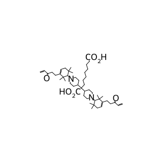 C=CC(=O)CCC1=CCC(C)(C)C(N2CCC(C(CCCCCCCC(=O)O)(C(=O)O)C3CCN(C4C(C)(C)CC=C(CCC(=O)C=C)C4(C)C)CC3)CC2)C1(C)C